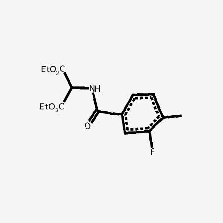 CCOC(=O)C(NC(=O)c1ccc(C)c(F)c1)C(=O)OCC